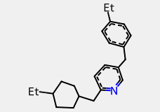 CCc1ccc(Cc2ccc(CC3CCC(CC)CC3)nc2)cc1